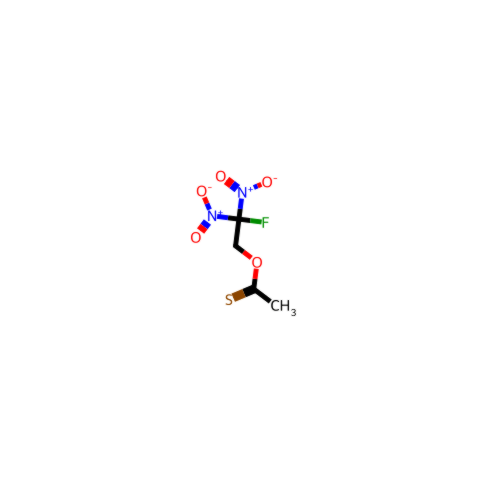 CC(=S)OCC(F)([N+](=O)[O-])[N+](=O)[O-]